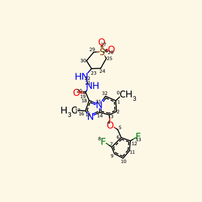 Cc1cc(OCc2c(F)cccc2F)c2nc(C)c(C(=O)NNC3CCS(=O)(=O)CC3)n2c1